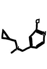 CN(Cc1ccnc(Cl)c1)CC1CC1